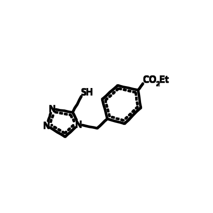 CCOC(=O)c1ccc(Cn2cnnc2S)cc1